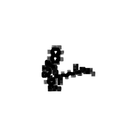 CSC1C[C@H](C(=O)NCCCCNC=NN)N(C(=O)CNS(=O)(=O)c2ccc3ccccc3c2)C1